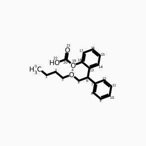 CCCCOCC(c1ccccc1)c1ccccc1OC(=O)O